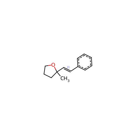 CC1(/C=C/c2ccccc2)CCCO1